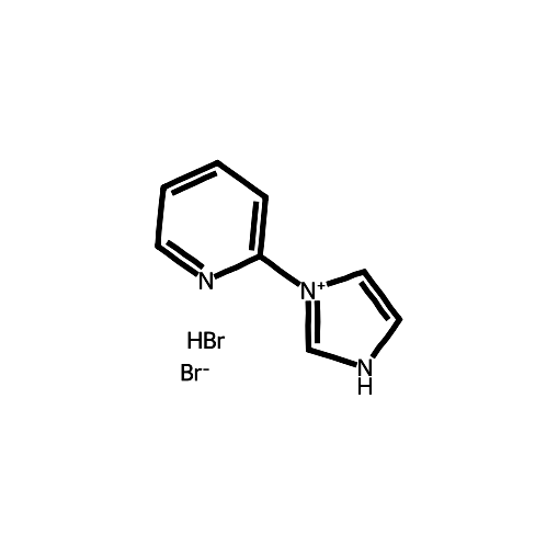 Br.[Br-].c1ccc(-[n+]2cc[nH]c2)nc1